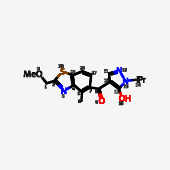 COCc1nc2c(C)c(C(=O)c3cnn(C(C)C)c3O)ccc2s1